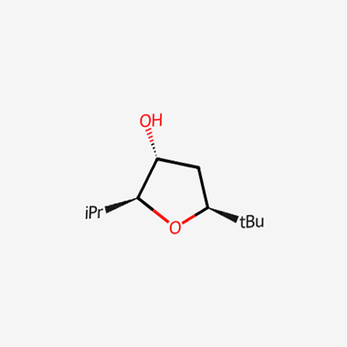 CC(C)[C@@H]1O[C@H](C(C)(C)C)C[C@H]1O